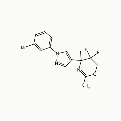 CC1(c2cnn(-c3cccc(Br)c3)c2)N=C(N)OCC1(F)F